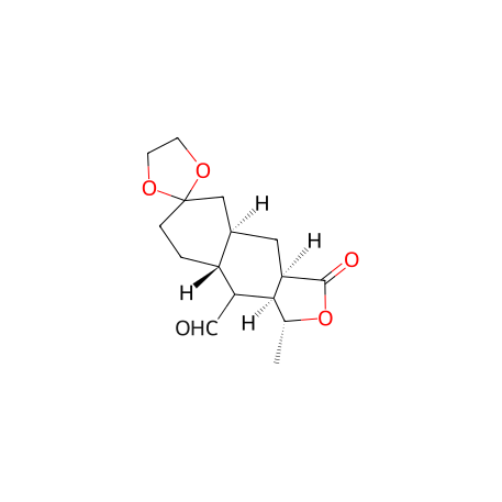 C[C@H]1OC(=O)[C@@H]2C[C@@H]3CC4(CC[C@H]3C(C=O)[C@H]12)OCCO4